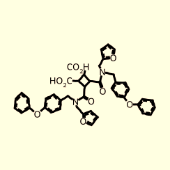 O=C(O)C1C(C(=O)O)C(C(=O)N(Cc2ccc(Oc3ccccc3)cc2)Cc2ccco2)C1C(=O)N(Cc1ccc(Oc2ccccc2)cc1)Cc1ccco1